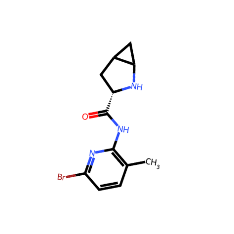 Cc1ccc(Br)nc1NC(=O)[C@@H]1CC2CC2N1